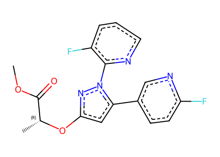 COC(=O)[C@@H](C)Oc1cc(-c2ccc(F)nc2)n(-c2ncccc2F)n1